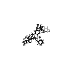 C[C@@](O)(c1ccc(N2CCN(S(=O)(=O)c3cccs3)C[C@@H]2CSc2ccccc2F)cc1)C(F)(F)F